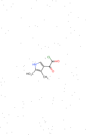 Cc1c(C(=O)C(=O)Cl)c[nH]c1C(=O)O